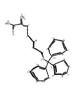 C=C(CCCCCOC(c1ccccc1)(c1ccccc1)c1ccccc1)C(=O)O